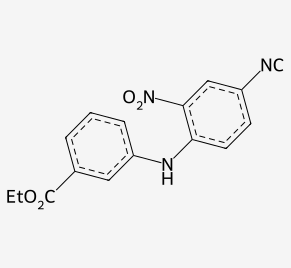 [C-]#[N+]c1ccc(Nc2cccc(C(=O)OCC)c2)c([N+](=O)[O-])c1